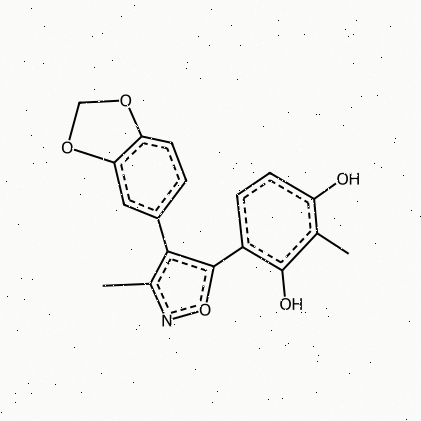 Cc1noc(-c2ccc(O)c(C)c2O)c1-c1ccc2c(c1)OCO2